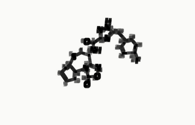 O=C(N[C@H]1CSc2ccccc2-n2c1noc2=O)c1n[nH]c(Cc2ccc(F)cc2)n1